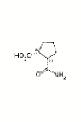 NC(=O)[C@H]1CCC[C@H]1C(=O)O